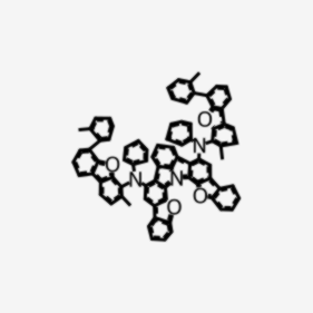 Cc1ccccc1-c1cccc2c1oc1c(N(c3ccccc3)c3cc4c5ccccc5oc4c4c3c3cccc5c6c(N(c7ccccc7)c7c(C)ccc8c7oc7c(-c9ccccc9C)cccc78)cc7c8ccccc8oc7c6n4c35)c(C)ccc12